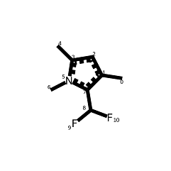 Cc1cc(C)n(C)c1C(F)F